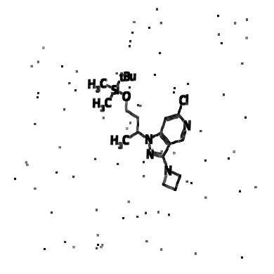 CC(CCO[Si](C)(C)C(C)(C)C)n1nc(N2CCC2)c2cnc(Cl)cc21